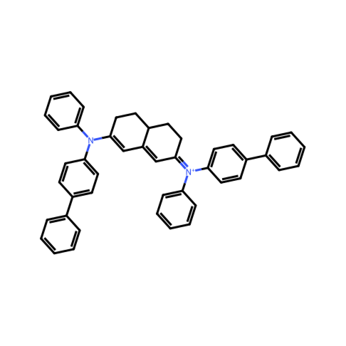 C1=C2C=C(N(c3ccccc3)c3ccc(-c4ccccc4)cc3)CCC2CC/C1=[N+](/c1ccccc1)c1ccc(-c2ccccc2)cc1